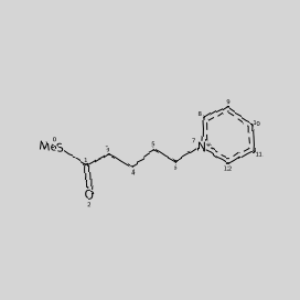 CSC(=O)CCCC[n+]1ccccc1